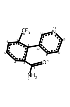 NC(=O)c1cccc(C(F)(F)F)c1-c1cccnc1